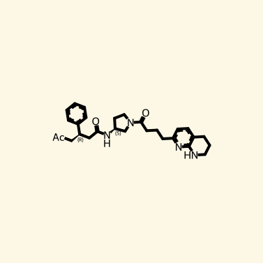 CC(=O)C[C@H](CC(=O)N[C@H]1CCN(C(=O)CCCc2ccc3c(n2)NCCC3)C1)c1ccccc1